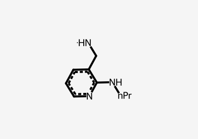 CCCNc1ncccc1C[NH]